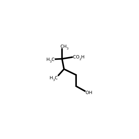 CC(CCO)C(C)(C)C(=O)O